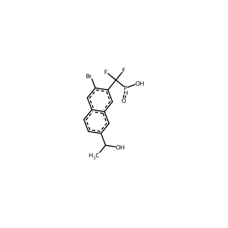 CC(O)c1ccc2cc(Br)c(C(F)(F)[PH](=O)O)cc2c1